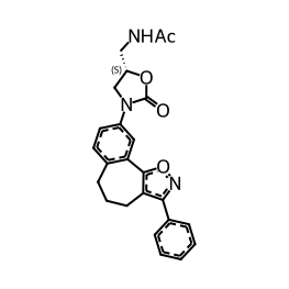 CC(=O)NC[C@H]1CN(c2ccc3c(c2)-c2onc(-c4ccccc4)c2CCC3)C(=O)O1